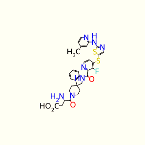 Cc1ccnc(Nc2ncc(Sc3ccnc(C(=O)NCC4(c5ccccc5)CCN(C(=O)[C@@H](N)CC(=O)O)CC4)c3F)s2)c1